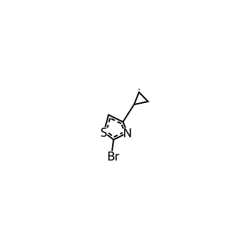 Brc1nc(C2[CH]C2)cs1